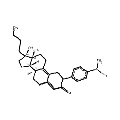 CN(C)c1ccc(C2CC3=C4CC[C@]5(C)[C@@H](CC[C@]5(O)CCCO)[C@@H]4CCC3=CC2=O)cc1